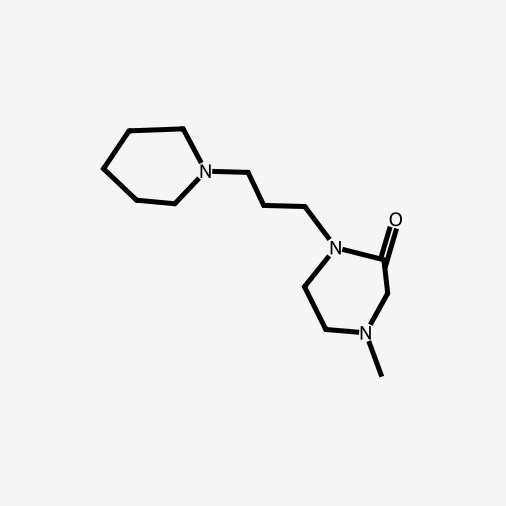 CN1CCN(CCCN2CCCCC2)C(=O)C1